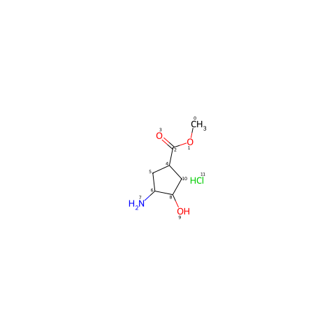 COC(=O)C1CC(N)C(O)C1.Cl